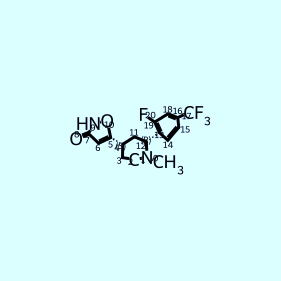 CN1CC[C@H](c2cc(=O)[nH]o2)C[C@@H]1c1ccc(C(F)(F)F)cc1F